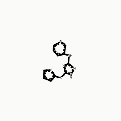 c1cncc(Nc2n[nH]c(Sc3cccs3)n2)c1